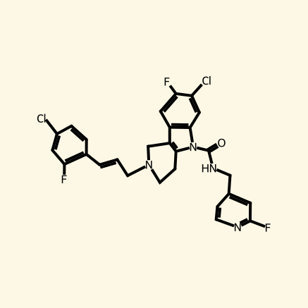 O=C(NCc1ccnc(F)c1)n1c2c(c3cc(F)c(Cl)cc31)CN(CC=Cc1ccc(Cl)cc1F)CC2